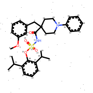 COc1cccc(CC2(C(=O)NS(=O)(=O)Oc3c(C(C)C)cccc3C(C)C)CCN(c3ccccc3)CC2)c1